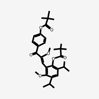 COC(=Cc1c(OC)c(C(C)C)cc(C(C)C)c1OC(=O)C(C)(C)C)C(=O)c1ccc(OC(=O)C(C)(C)C)cc1